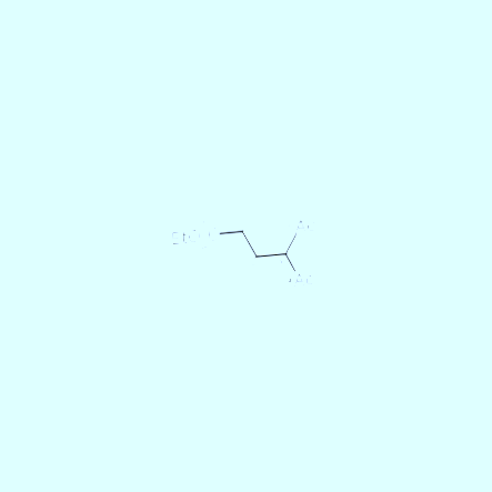 CCOC(=O)CCC(C(C)=O)C(C)=O